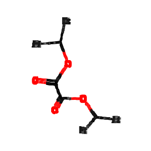 CCC(CC)OC(=O)C(=O)OC(CC)CC